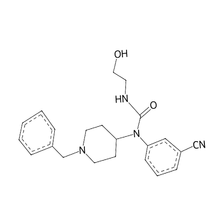 N#Cc1cccc(N(C(=O)NCCO)C2CCN(Cc3ccccc3)CC2)c1